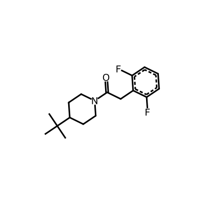 CC(C)(C)C1CCN(C(=O)Cc2c(F)cccc2F)CC1